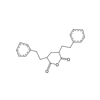 O=C1OC(=O)C(CCc2ccccc2)CC1CCc1ccccc1